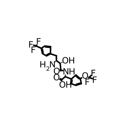 N[C@H](Cc1ccc(C(F)(F)F)cc1)[C@H](O)C(=O)N[C@H](C(=O)O)c1cccc(OC(F)(F)F)c1